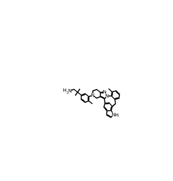 Cc1ccc(C(C)(C)CN)cc1N1CCc2nn3c(c2C1)-c1cc(c2[nH]ccc2c1)Cc1cccc(C)c1-3